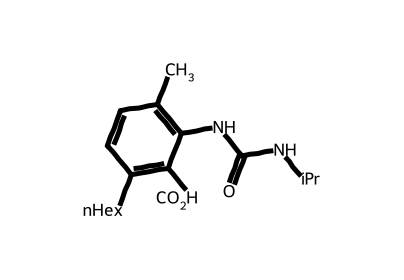 CCCCCCc1ccc(C)c(NC(=O)NC(C)C)c1C(=O)O